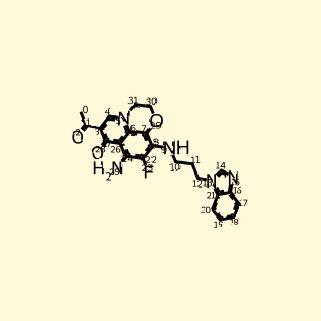 CC(=O)c1cn2c3c(c(NCCCn4cnc5ccccc54)c(F)c(N)c3c1=O)OCC2